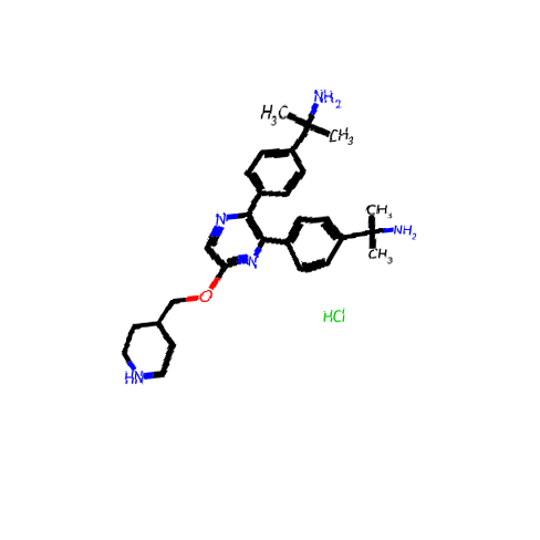 CC(C)(N)c1ccc(-c2ncc(OCC3CCNCC3)nc2-c2ccc(C(C)(C)N)cc2)cc1.Cl